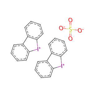 O=S(=O)([O-])[O-].c1ccc2c(c1)[I+]c1ccccc1-2.c1ccc2c(c1)[I+]c1ccccc1-2